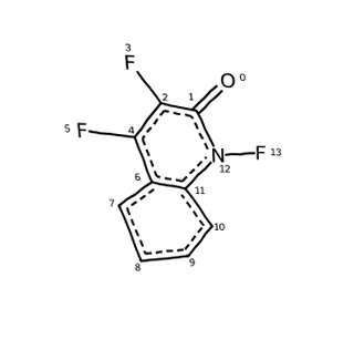 O=c1c(F)c(F)c2ccccc2n1F